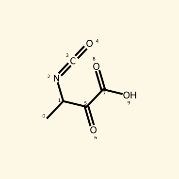 CC(N=C=O)C(=O)C(=O)O